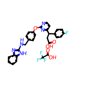 O=C(O)C(F)(F)F.O=C(O)CC(c1ccc(F)cc1)c1ccnc(Oc2ccc(CNc3nc4ccccc4[nH]3)cc2)n1